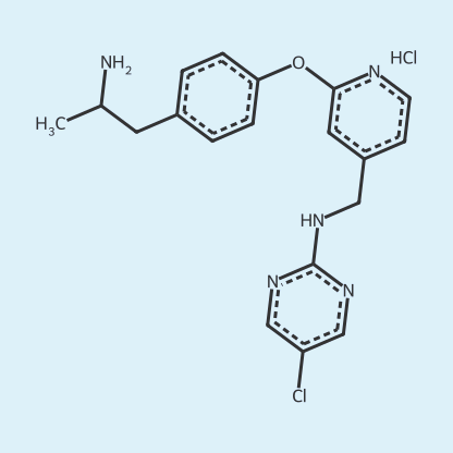 CC(N)Cc1ccc(Oc2cc(CNc3ncc(Cl)cn3)ccn2)cc1.Cl